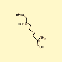 CCCCCCC[C@@H](O)CCOC[C@@H](N)CO